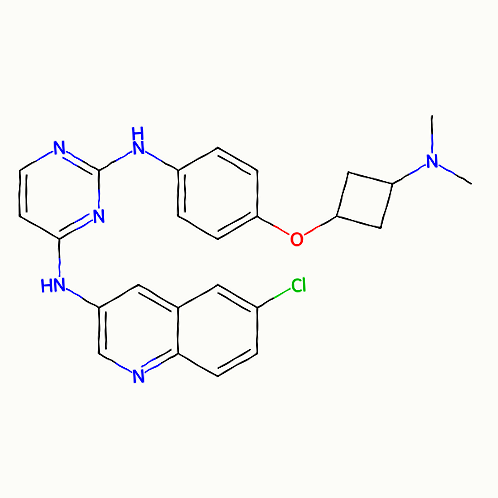 CN(C)C1CC(Oc2ccc(Nc3nccc(Nc4cnc5ccc(Cl)cc5c4)n3)cc2)C1